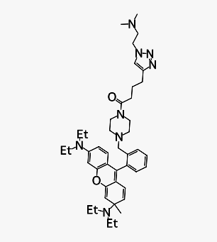 CCN(CC)c1ccc2c(c1)OC1=CC(C)(N(CC)CC)C=CC1=C2c1ccccc1CN1CCN(C(=O)CCCc2cn(CCN(C)C)nn2)CC1